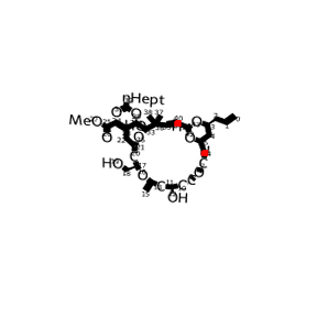 C=CC[C@H]1C[C@H]2CCOCC[C@@H](O)CC(=C)O[C@@H](CO)CC3C/C(=C\C(=O)OC)[C@H](OC(=O)CCCCCCC)[C@@](O)(O3)C(C)(C)/C=C/[C@H](O2)O1